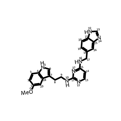 COc1ccc2[nH]cc(CCNc3nccc(NCc4ccc5[nH]cnc5c4)n3)c2c1